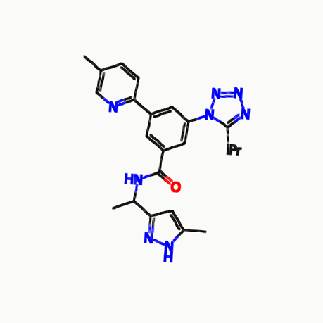 Cc1ccc(-c2cc(C(=O)NC(C)c3cc(C)[nH]n3)cc(-n3nnnc3C(C)C)c2)nc1